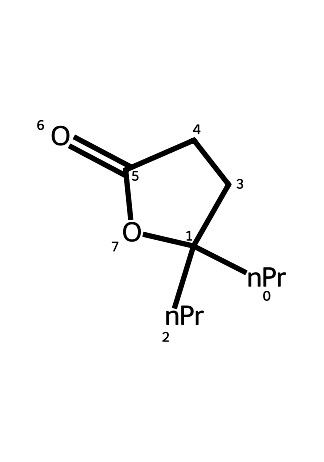 CCCC1(CCC)CCC(=O)O1